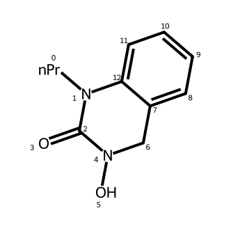 CCCN1C(=O)N(O)Cc2ccccc21